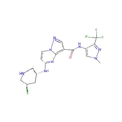 Cn1cc(NC(=O)c2cnn3ccc(N[C@H]4CNC[C@H](F)C4)nc23)c(C(F)(F)F)n1